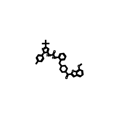 COc1cccc2cc(C(=O)N3CCC(Cc4ccccc4NC(=O)Nc4cc(C(C)(C)C)nn4-c4ccc(C)cc4)CC3)oc12